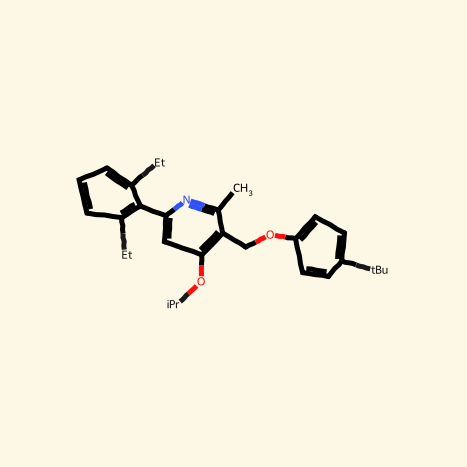 CCc1cccc(CC)c1-c1cc(OC(C)C)c(COc2ccc(C(C)(C)C)cc2)c(C)n1